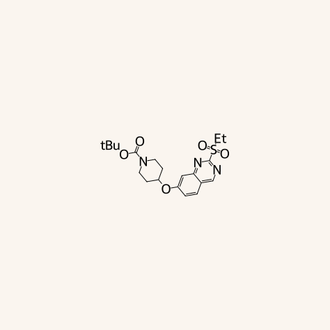 CCS(=O)(=O)c1ncc2ccc(OC3CCN(C(=O)OC(C)(C)C)CC3)cc2n1